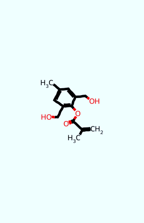 C=C(C)C(=O)Oc1c(CO)cc(C)cc1CO